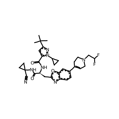 CC(C)(C)c1cc(C(=O)N[C@@H](Cc2nc3ccc(C4=CCN(CC(F)F)CC4)cc3o2)C(=O)NC2(C#N)CC2)n(C2CC2)n1